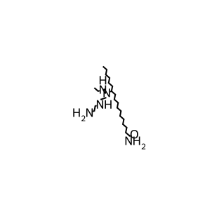 CCCCCCC(CCCCCCCCCCC(N)=O)N(CCNCCN)NCC